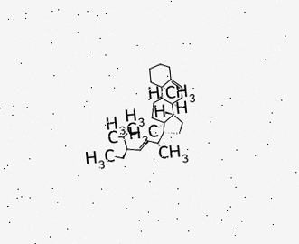 CC[C@H](/C=C/[C@@H](C)[C@H]1CC[C@H]2[C@@H]3CC=C4CCCC[C@]4(C)[C@H]3CC[C@]12C)C(C)C